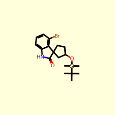 CC(C)(C)[Si](C)(C)OC1CCC2(C1)C(=O)Nc1cccc(Br)c12